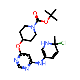 CC1(Cl)C=CC(Nc2cc(OC3CCN(C(=O)OC(C)(C)C)CC3)ncn2)=CN1